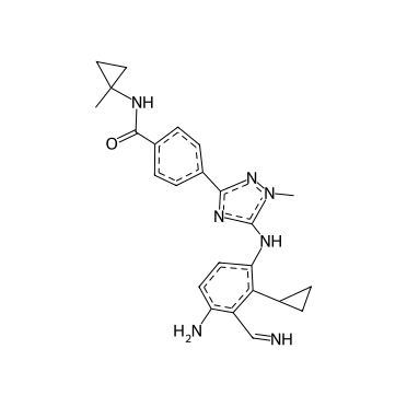 Cn1nc(-c2ccc(C(=O)NC3(C)CC3)cc2)nc1Nc1ccc(N)c(C=N)c1C1CC1